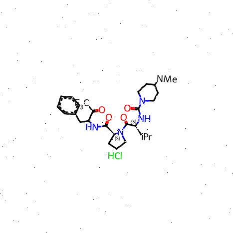 CNC1CCN(C(=O)N[C@H](C(=O)N2CCC[C@H]2C(=O)NC(Cc2ccccc2)C(=O)C(F)(F)F)C(C)C)CC1.Cl